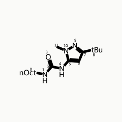 CCCCCCCCNC(=O)Nc1cc(C(C)(C)C)nn1C